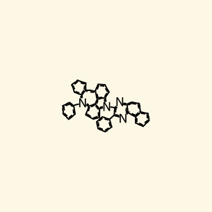 c1ccc(-c2nc3c(ccc4ccccc43)nc2-n2c3cccc4c5ccccc5n(-c5ccccc5)c5cccc2c5c43)cc1